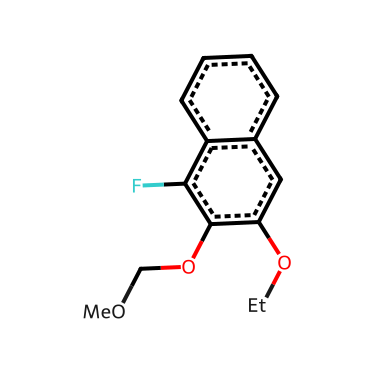 CCOc1cc2ccccc2c(F)c1OCOC